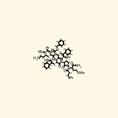 CSCCC(C(N)=O)N(C(=O)CCC(C)C)N1CC[C@H](NC(=O)[C@H](Cc2c[nH]c3ccccc23)NC(=O)[C@@H](Cc2c[nH]c3ccccc23)N(C(=O)OCc2ccccc2)C(=O)[C@H](CCCCN)NC(=O)OC(C)(C)C)C1=O